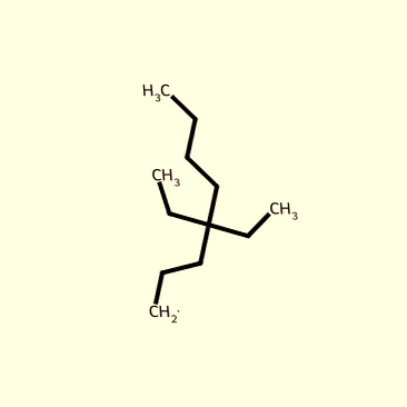 [CH2]CCC(CC)(CC)CCCC